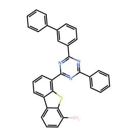 Bc1cccc2c1sc1c(-c3nc(-c4ccccc4)nc(-c4cccc(-c5ccccc5)c4)n3)cccc12